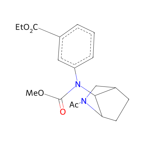 CCOC(=O)c1cccc(N(C(=O)OC)C2C3CCC2N(C(C)=O)C3)c1